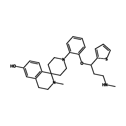 CNCCC(Oc1ccccc1N1CCC2(CC1)c1ccc(O)cc1CCN2C)c1cccs1